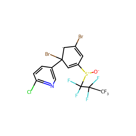 [O-][S+](C1=CC(Br)(c2ccc(Cl)nc2)[CH]C(Br)=C1)C(F)(F)C(F)(F)C(F)(F)F